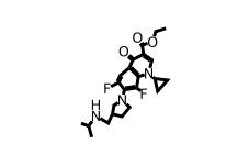 CCOC(=O)c1cn(C2CC2)c2c(F)c(N3CCC(CNC(C)C)C3)c(F)cc2c1=O